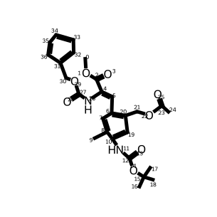 COC(=O)C(=Cc1cc(C)c(NC(=O)OC(C)(C)C)cc1COC(C)=O)NC(=O)OCc1ccccc1